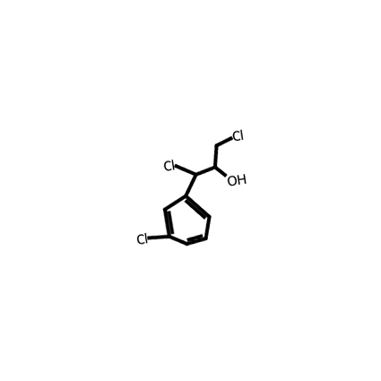 OC(CCl)C(Cl)c1cccc(Cl)c1